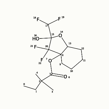 CCC(C)(C)C(=O)OC12CCCCC1OC(O)(C(F)F)C2(F)F